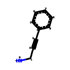 [NH]CC#Cc1ccccc1